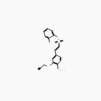 C#CCOc1cc(/C=C/S(=O)(=O)Nc2ccccc2C=O)ccc1OC